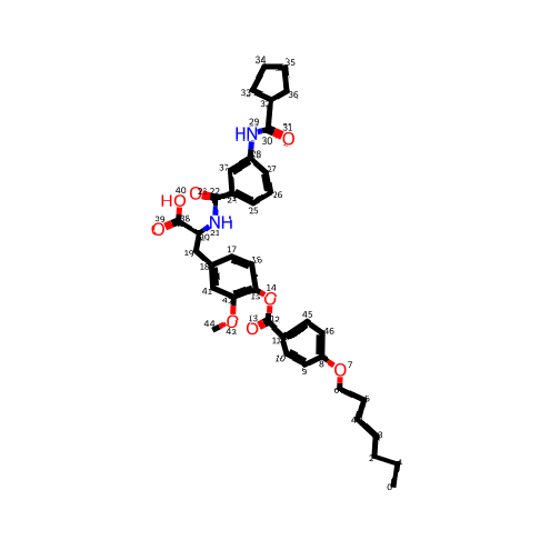 CCCCCCCOc1ccc(C(=O)Oc2ccc(CC(NC(=O)c3cccc(NC(=O)C4CCCC4)c3)C(=O)O)cc2OC)cc1